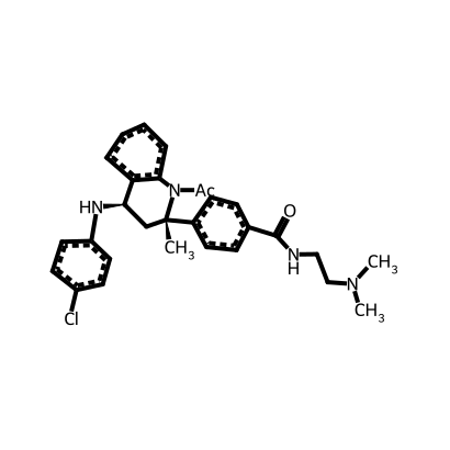 CC(=O)N1c2ccccc2[C@H](Nc2ccc(Cl)cc2)C[C@@]1(C)c1ccc(C(=O)NCCN(C)C)cc1